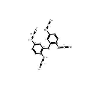 O=C=Nc1ccc(N=C=O)c(Cc2cc(N=C=O)ccc2N=C=O)c1